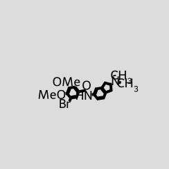 COc1cc(OC)c(C(=O)Nc2ccc3c(c2)CC(N(C)C)C3)cc1Br